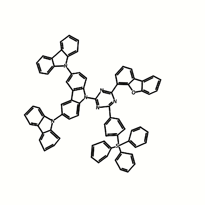 c1ccc([Si](c2ccccc2)(c2ccccc2)c2ccc(-c3nc(-c4cccc5c4oc4ccccc45)nc(-n4c5ccc(-n6c7ccccc7c7ccccc76)cc5c5cc(-n6c7ccccc7c7ccccc76)ccc54)n3)cc2)cc1